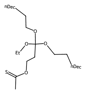 CCCCCCCCCCCCOC(CCOC(C)=S)(OCC)OCCCCCCCCCCCC